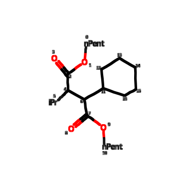 CCCCCOC(=O)C(C(C)C)C(C(=O)OCCCCC)C1CCCCC1